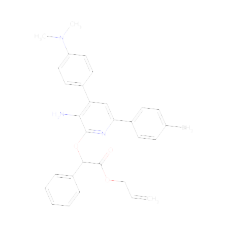 Bc1ccc(-c2cc(-c3ccc(N(C)C)cc3)c(N)c(OC(C(=O)OCC=C)c3ccccc3)n2)cc1